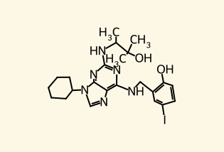 CC(Nc1nc(NCc2cc(I)ccc2O)c2ncn(C3CCCCC3)c2n1)C(C)(C)O